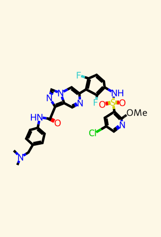 COc1ncc(Cl)cc1S(=O)(=O)Nc1ccc(F)c(-c2cn3cnc(C(=O)Nc4ccc(CN(C)C)cc4)c3cn2)c1F